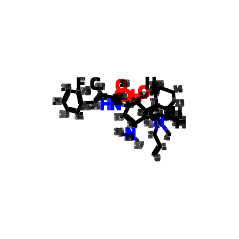 C=CC[N+]1(C)CC[C@@]23C4=C5C[C@@H]1[C@@H]2CCC[C@@H]3OC4C(O)(NC(=O)C(=Cc1ccccc1)C(F)(F)F)C=C5N(C)C